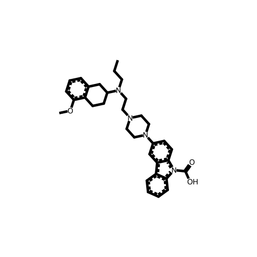 CCCN(CCN1CCN(c2ccc3c(c2)c2ccccc2n3C(=O)O)CC1)C1CCc2c(cccc2OC)C1